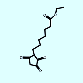 CCOC(=O)CCCCCCC1C(=O)CC(=O)C1=O